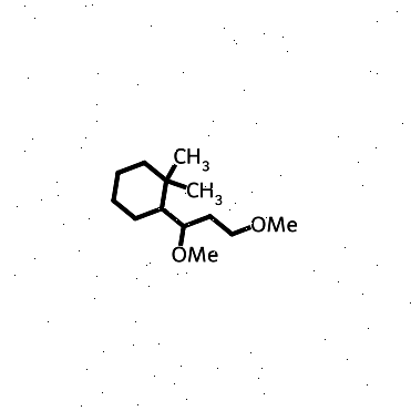 COCCC(OC)C1CCCCC1(C)C